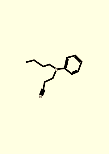 CCCCN(CCC#N)c1cc[c]cc1